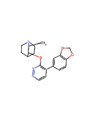 CC1C(Oc2nnccc2-c2ccc3c(c2)OCO3)C2CCN1CC2